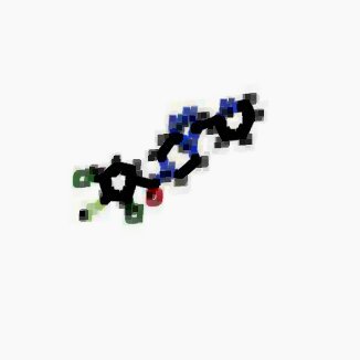 O=C(c1ccc(Cl)c(F)c1Cl)N1CCn2c(nnc2-c2ccccn2)C1